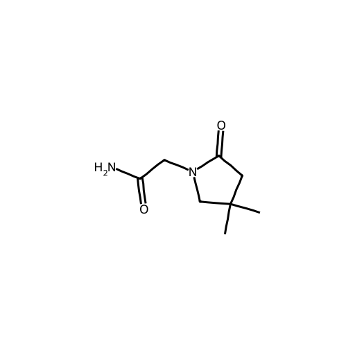 CC1(C)CC(=O)N(CC(N)=O)C1